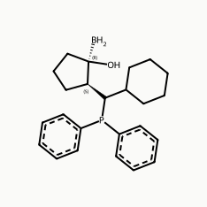 B[C@@]1(O)CCC[C@@H]1C(C1CCCCC1)P(c1ccccc1)c1ccccc1